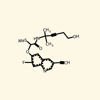 C#Cc1cnc2cc(F)c(OC(SC)C(=O)NC(C)(C)C#CCCO)cc2c1